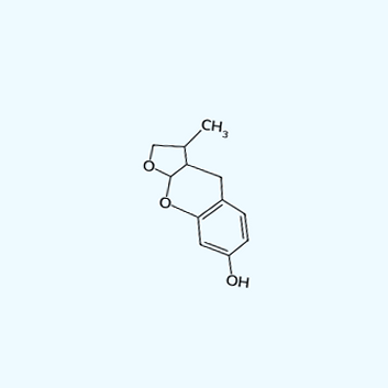 CC1COC2Oc3cc(O)ccc3CC12